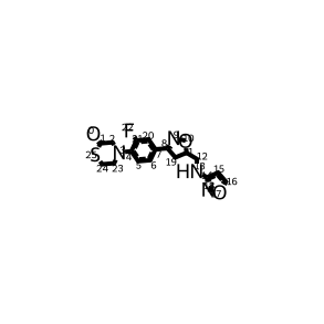 O=C1CN(c2ccc(C3=NOC(CNc4ccon4)C3)cc2F)CCS1